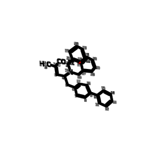 CCOC(=O)/C(C)=C\C(Cc1ccc(-c2ccccc2)cc1)N(Cc1ccccc1)Cc1ccccc1